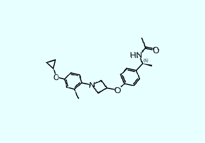 CC(=O)N[C@@H](C)c1ccc(OC2CN(c3ccc(OC4CC4)cc3C)C2)cc1